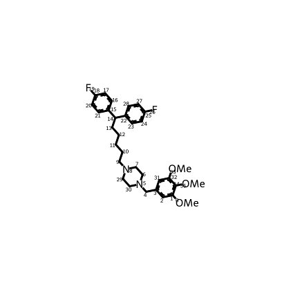 COc1cc(CN2CCN(CCCCCC(c3ccc(F)cc3)c3ccc(F)cc3)CC2)cc(OC)c1OC